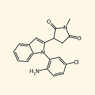 CN1C(=O)CC(c2cc3ccccc3n2-c2cc(Cl)ccc2N)C1=O